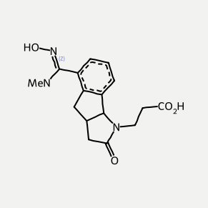 CN/C(=N\O)c1cccc2c1CC1CC(=O)N(CCC(=O)O)C21